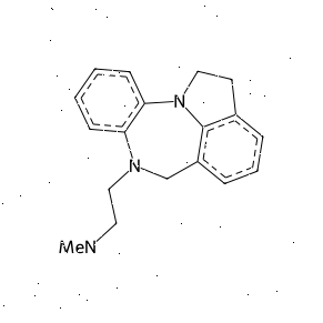 CNCCN1Cc2cccc3c2N(CC3)c2ccccc21